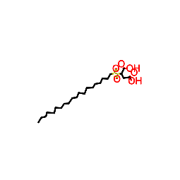 CCCCCCCCCCCCCCCCCCCCS(=O)(=O)C(CC(=O)O)C(=O)O